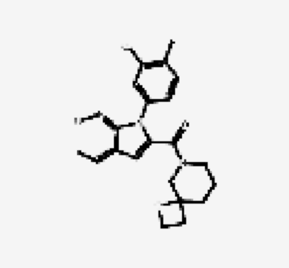 C/C=C1/C=C(C(=O)N2CCCC3(CCO3)C2)N(c2ccc(C)c(Cl)c2)/C1=N/CC